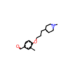 Cc1cc(C=O)ccc1OCCCC1CCN(C)CC1